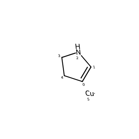 C1=CNCC1.[Cu]